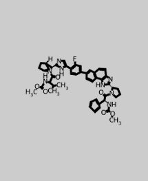 COC(=O)NC(C(=O)N1C2CC[C@@H](C2)[C@H]1c1ncc(-c2ccc(-c3ccc4c(ccc5nc([C@@H]6CCCN6C(=O)[C@H](NC(=O)OC)c6ccccc6)[nH]c54)c3)cc2F)[nH]1)C(C)C